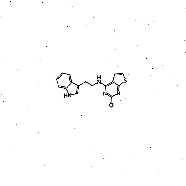 Clc1nc(NCCc2c[nH]c3ccccc23)c2ccsc2n1